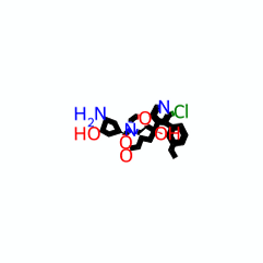 CCc1cccc(-c2c([C@@](O)(CCCCOC)[C@H]3CN(C(=O)[C@H]4C[C@@H](N)[C@@H](O)C4)CCO3)ccnc2Cl)c1